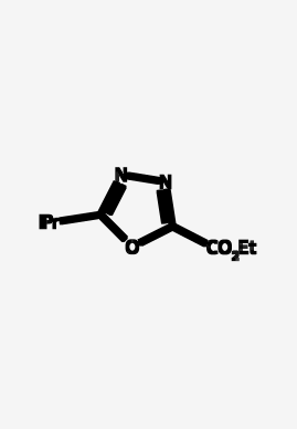 CCOC(=O)c1nnc(C(C)C)o1